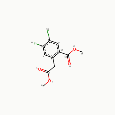 COC(=O)Cc1cc(F)c(F)cc1C(=O)OC